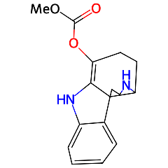 COC(=O)OC1=C2Nc3ccccc3C23CCNC3CC1